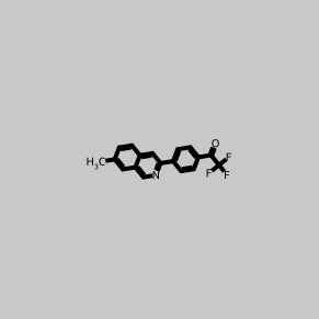 Cc1ccc2cc(-c3ccc(C(=O)C(F)(F)F)cc3)ncc2c1